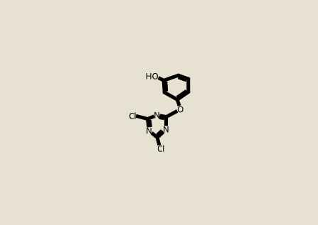 Oc1cccc(Oc2nc(Cl)nc(Cl)n2)c1